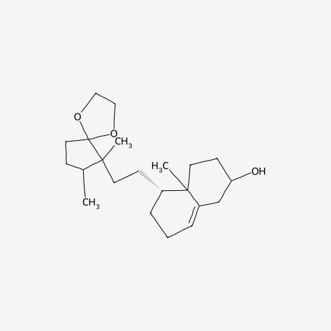 CC1CCC2(OCCO2)C1(C)CC[C@H]1CCC=C2CC(O)CCC21C